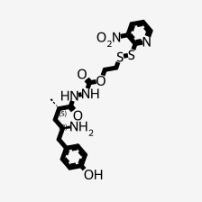 C[C@@H](C[C@@H](N)Cc1ccc(O)cc1)C(=O)NNC(=O)OCCSSc1ncccc1[N+](=O)[O-]